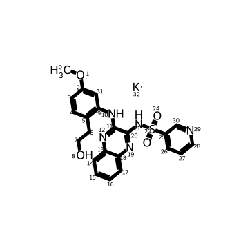 COc1ccc(CCO)c(Nc2nc3ccccc3nc2NS(=O)(=O)c2cccnc2)c1.[K]